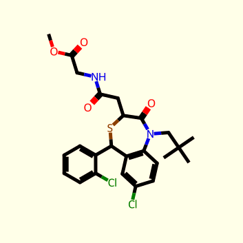 COC(=O)CNC(=O)CC1SC(c2ccccc2Cl)c2cc(Cl)ccc2N(CC(C)(C)C)C1=O